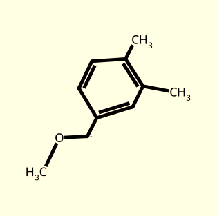 CO[CH]c1ccc(C)c(C)c1